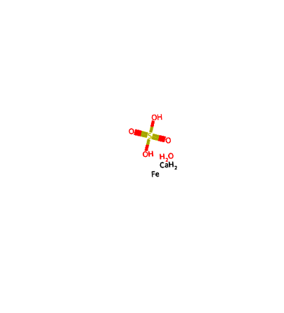 O.O=S(=O)(O)O.[CaH2].[Fe]